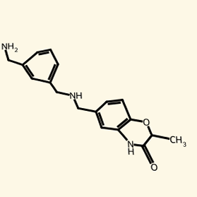 CC1Oc2ccc(CNCc3cccc(CN)c3)cc2NC1=O